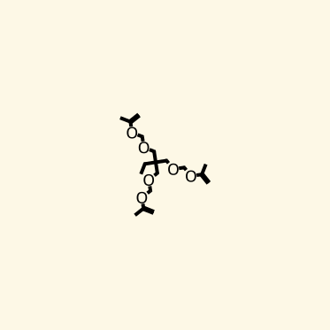 C=C(C)OCOCC(CC)(COCOC(=C)C)COCOC(=C)C